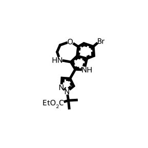 CCOC(=O)C(C)(C)n1cc(-c2[nH]c3cc(Br)cc4c3c2NCCO4)cn1